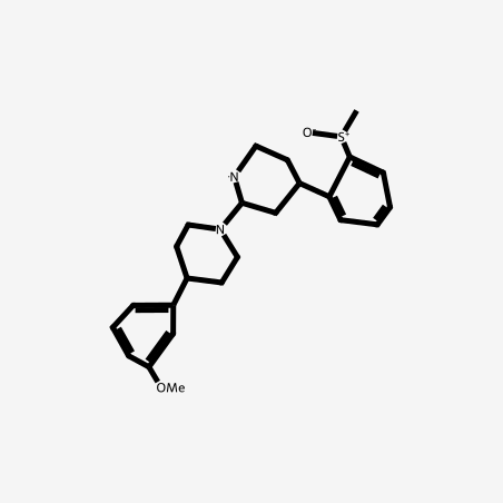 COc1cccc(C2CCN(C3CC(c4ccccc4[S+](C)[O-])CC[N]3)CC2)c1